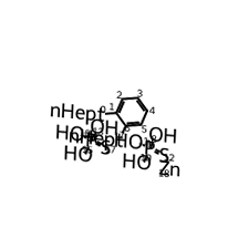 CCCCCCCc1ccccc1CCCCCCC.OP(O)(O)=S.OP(O)(O)=S.[Zn]